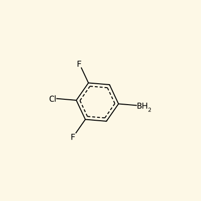 Bc1cc(F)c(Cl)c(F)c1